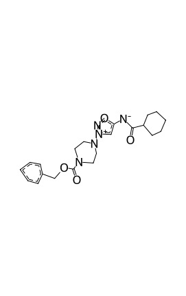 O=C([N-]c1c[n+](N2CCN(C(=O)OCc3ccccc3)CC2)no1)C1CCCCC1